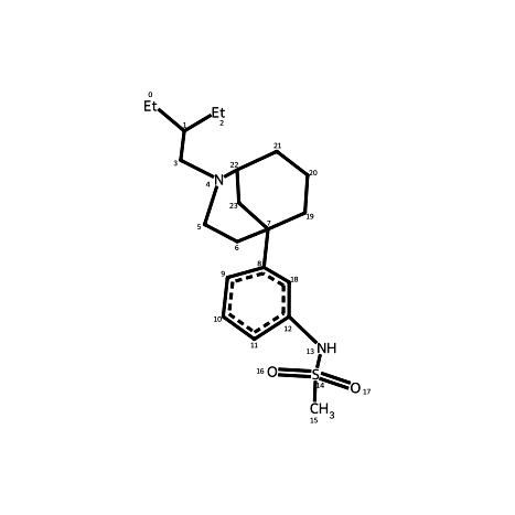 CCC(CC)CN1CCC2(c3cccc(NS(C)(=O)=O)c3)CCCC1C2